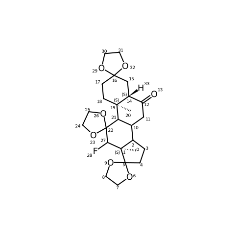 C[C@]12C(CCC13OCCO3)C1CC(=O)[C@H]3CC4(CC[C@]3(C)C1C1(OCCO1)C2F)OCCO4